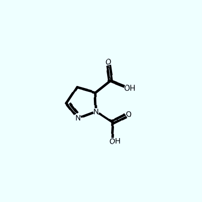 O=C(O)C1CC=NN1C(=O)O